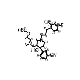 CCCCOCCN(C)CC1CN(CCCc2ccc(F)cc2Cl)CCC1(O)c1cccc(C#N)c1